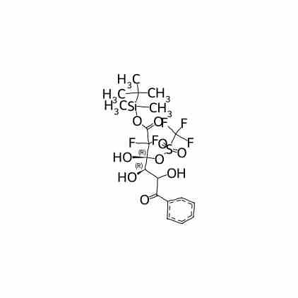 CC(C)(C)[Si](C)(C)OC(=O)C(F)(F)[C@](O)(OS(=O)(=O)C(F)(F)F)[C@H](O)C(O)C(=O)c1ccccc1